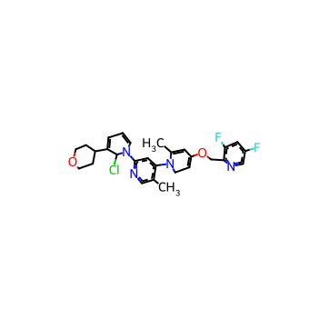 CC1=CC(OCc2ncc(F)cc2F)=CCN1c1cc(N2C=CC=C(C3CCOCC3)C2Cl)ncc1C